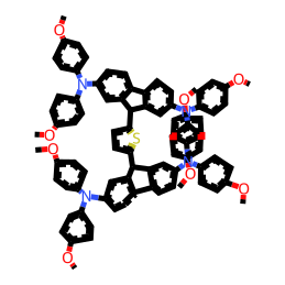 COc1ccc(N(c2ccc(OC)cc2)c2ccc3c(c2)C(c2ccc(C4c5cc(N(c6ccc(OC)cc6)c6ccc(OC)cc6)ccc5-c5ccc(N(c6ccc(OC)cc6)c6ccc(OC)cc6)cc54)s2)c2cc(N(c4ccc(OC)cc4)c4ccc(OC)cc4)ccc2-3)cc1